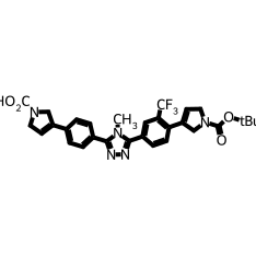 Cn1c(-c2ccc(C3=CCN(C(=O)O)C3)cc2)nnc1-c1ccc(C2=CCN(C(=O)OC(C)(C)C)C2)c(C(F)(F)F)c1